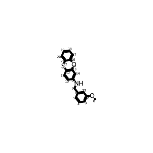 COc1cccc(CNc2ccc3c(c2)Oc2ccccc2S3)c1